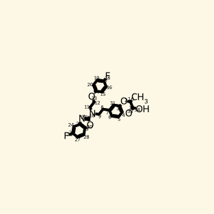 CC(Oc1cccc(CCN(CCOc2ccc(F)cc2)c2nc3cc(F)ccc3o2)c1)C(=O)O